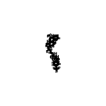 CC[C@H]1C[C@H]2C3CC[C@H]([C@H](C)CCNC(=O)NS(=O)(=O)c4ccc(C(C)(C)C)cc4)[C@@]3(C)CC[C@@H]2[C@@]2(C)CCCC[C@@H]12